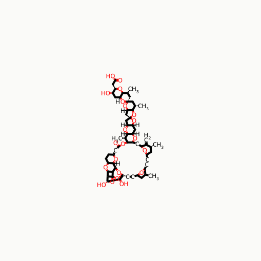 C=C1C2CC3O[C@H]4C[C@H]5O[C@]6(C[C@@H]7O[C@]8(C[C@H](C)C9O[C@H](CC(=O)O)[C@H](O)C[C@@H]9O8)C[C@H](C)C7O6)C[C@H]5O[C@H]4[C@H](C)C3OC(=O)CC3CCC4OC5C6C(O[C@]7(CCC8CC(C)C(CCC(C[C@H]1C)O2)O8)OC61O[C@@](O)(C51)C7O)[C@H]4O3